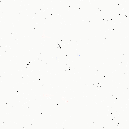 CN(C[C@@H]1CCO1)c1cc(C(=O)O)cc(F)c1N